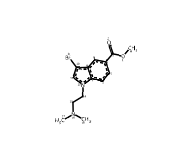 COC(=O)c1ccc2c(c1)c(Br)cn2CCN(C)C